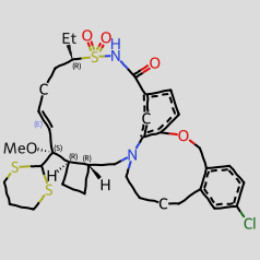 CC[C@@H]1CC/C=C/[C@](OC)(C2SCCCS2)[C@@H]2CC[C@H]2CN2CCCCc3cc(Cl)ccc3COc3ccc(cc32)C(=O)NS1(=O)=O